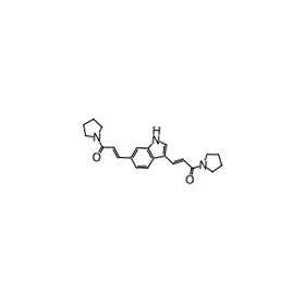 O=C(C=Cc1ccc2c(C=CC(=O)N3CCCC3)c[nH]c2c1)N1CCCC1